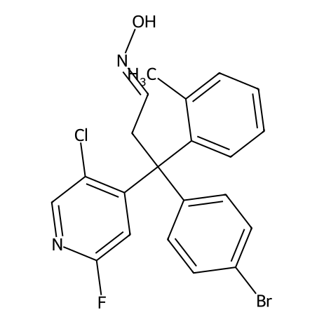 Cc1ccccc1C(CC=NO)(c1ccc(Br)cc1)c1cc(F)ncc1Cl